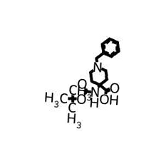 CC(C)(C)OC(=O)NC1(C(=O)O)CCN(Cc2ccccc2)CC1